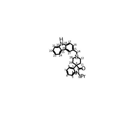 CC(C)NC(=O)C1(c2ccccc2)CCN(Cc2ccc3[nH]c4ccccc4c3c2)CC1